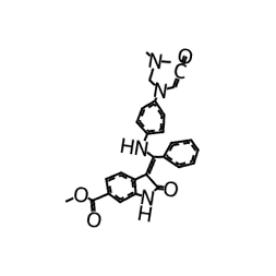 COC(=O)c1ccc2c(c1)NC(=O)C2=C(Nc1ccc(N(C=C=O)CN(C)C)cc1)c1ccccc1